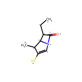 CCC1C(=O)N2C=C(S)C(C)C12